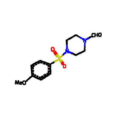 COc1ccc(S(=O)(=O)N2CCN(C=O)CC2)cc1